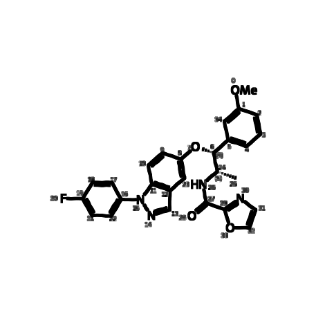 COc1cccc([C@@H](Oc2ccc3c(cnn3-c3ccc(F)cc3)c2)[C@H](C)NC(=O)c2ncco2)c1